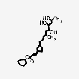 CC(/C=C/C=C1C=C(/C=C/C(=O)OC2CCCCC2)CC/1)=C\C(O)C(O)CC(C)O